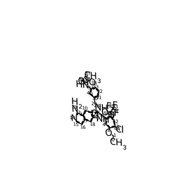 CCOc1cc(C(Nc2ccc3c(N)nccc3c2)(OC(=O)C(F)(F)F)C(=O)NCc2cccc(NS(C)(=O)=O)c2)ccc1Cl